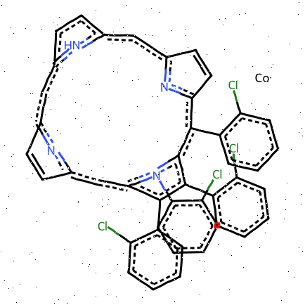 Clc1ccccc1-c1c(-c2ccccc2Cl)c2c(-c3ccccc3Cl)c3nc(cc4ccc(cc5nc(cc1n2-c1ccccc1Cl)C=C5)[nH]4)C=C3.[Co]